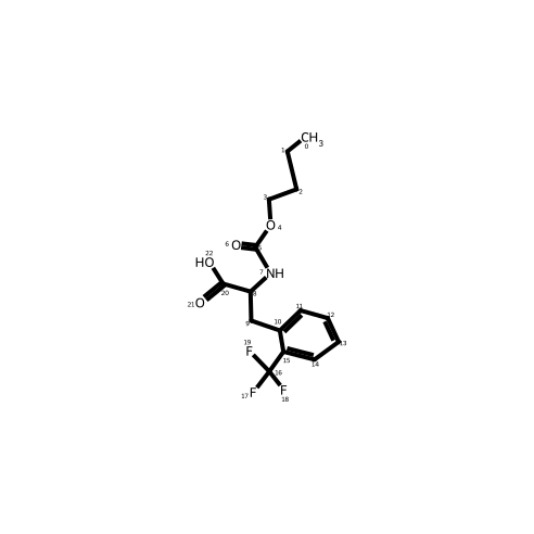 CCCCOC(=O)NC(Cc1ccccc1C(F)(F)F)C(=O)O